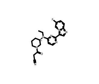 CCN(c1ccnc(-c2cnc3ccc(F)cn23)n1)[C@@H]1CCCN(C(=O)CC#N)C1